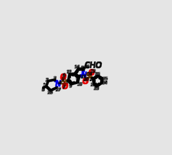 CC1CCN(S(=O)(=O)c2ccc3c(c2)cc(C=O)n3S(=O)(=O)c2ccccc2)CC1